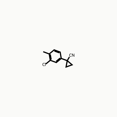 Cc1ccc(C2(C#N)CC2)cc1Cl